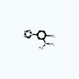 CP(C)c1cc(-n2cnnn2)ccc1N